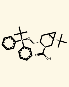 CC(C)(C)[C@@]12C[C@@H]1C[C@@H](CO[Si](c1ccccc1)(c1ccccc1)C(C)(C)C)N(C(=O)O)C2